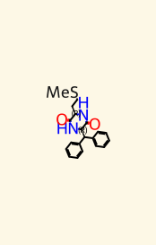 CSCC[C@H]1NC(=O)[C@@H](C(c2ccccc2)c2ccccc2)NC1=O